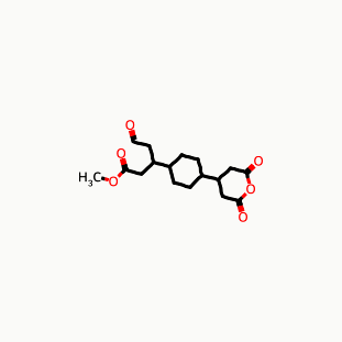 COC(=O)CC(CC=O)C1CCC(C2CC(=O)OC(=O)C2)CC1